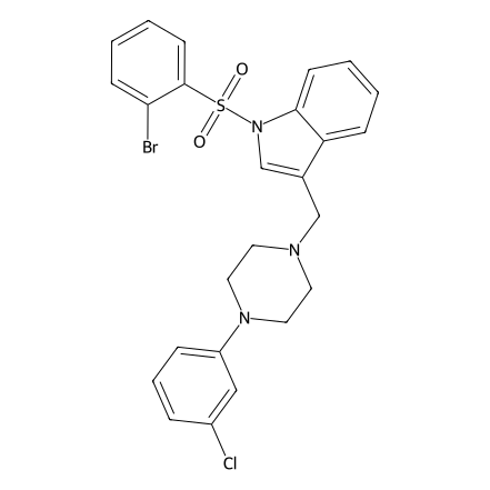 O=S(=O)(c1ccccc1Br)n1cc(CN2CCN(c3cccc(Cl)c3)CC2)c2ccccc21